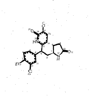 CCc1ccc(C(C[C@H]2CCC(=O)N2)c2ccc(Cl)c(=O)[nH]2)cc1Cl